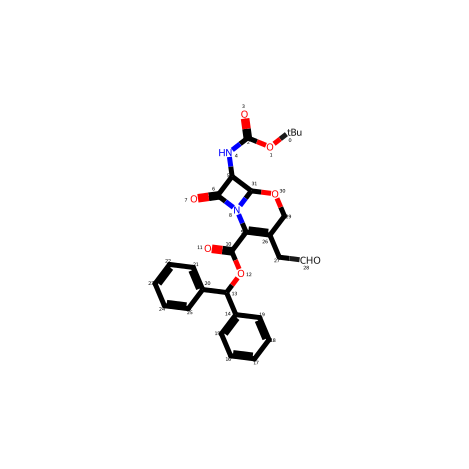 CC(C)(C)OC(=O)NC1C(=O)N2C(C(=O)OC(c3ccccc3)c3ccccc3)=C(CC=O)COC12